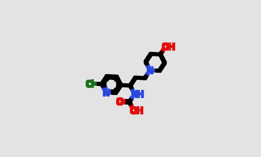 O=C(O)NC(CCN1CCC(O)CC1)c1ccc(Cl)nc1